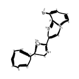 Brc1cccn2cc(C3=NCC(c4ccccc4)O3)nc12